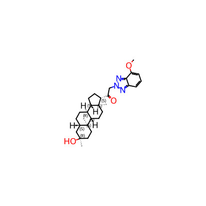 COc1cccc2nn(CC(=O)[C@H]3CC[C@H]4[C@@H]5CC[C@H]6C[C@](C)(O)CC[C@]6(C)[C@H]5CC[C@]34C)nc12